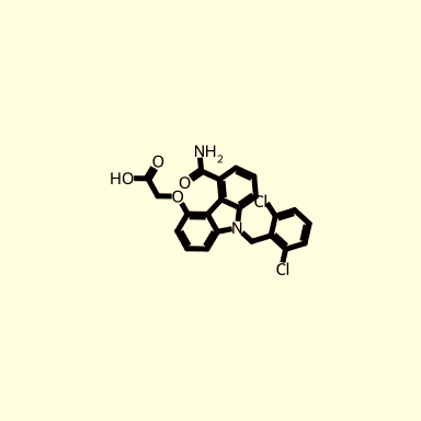 NC(=O)c1cccc2c1c1c(OCC(=O)O)cccc1n2Cc1c(Cl)cccc1Cl